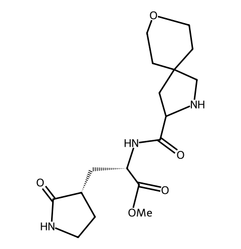 COC(=O)[C@H](C[C@@H]1CCNC1=O)NC(=O)C1CC2(CCOCC2)CN1